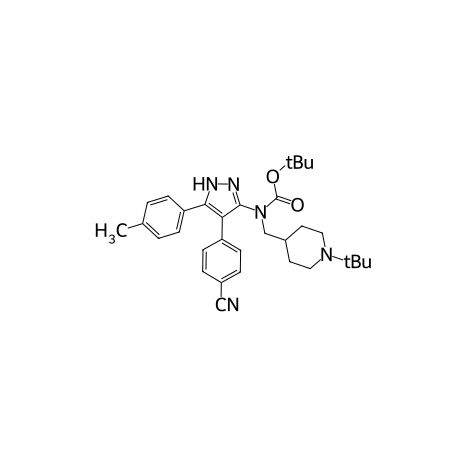 Cc1ccc(-c2[nH]nc(N(CC3CCN(C(C)(C)C)CC3)C(=O)OC(C)(C)C)c2-c2ccc(C#N)cc2)cc1